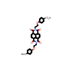 COc1ccc(OCCN2C(=O)c3ccc4c5c(ccc(c35)C2=O)C(=O)N(CCOc2ccc(C(=O)O)cc2)C4=O)cc1